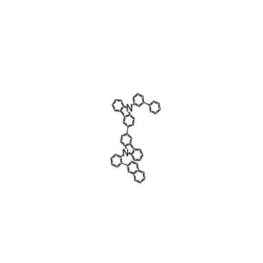 c1ccc(-c2cccc(-n3c4ccccc4c4cc(-c5ccc6c(c5)c5ccccc5n6-c5ccccc5-c5ccc6ccccc6c5)ccc43)c2)cc1